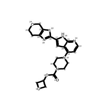 O=C(OC1COC1)N1CCN(c2ccnc3[nH]c(-c4nc5c(s4)COCC5)cc23)CC1